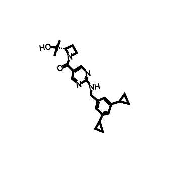 CC(C)(O)[C@@H]1CCN1C(=O)c1cnc(NCc2cc(C3CC3)cc(C3CC3)c2)nc1